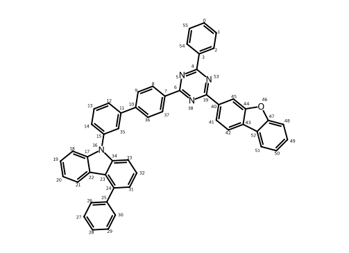 c1ccc(-c2nc(-c3ccc(-c4cccc(-n5c6ccccc6c6c(-c7ccccc7)cccc65)c4)cc3)nc(-c3ccc4c(c3)oc3ccccc34)n2)cc1